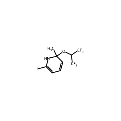 CC1(OC(C(F)(F)F)C(F)(F)F)C=C[C]=C(I)N1